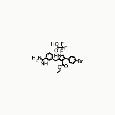 CCOC(=O)c1c(-c2ccc(Br)cc2)c[nH]c1Cc1cccc(C(=N)N)c1.O=C(O)C(F)(F)F